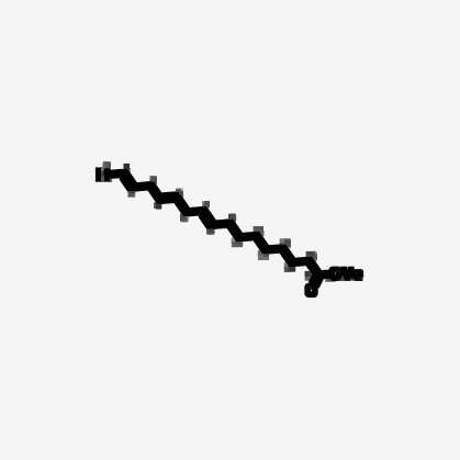 CC/C=C/C/C=C/C/C=C/CCCCCCCC(=O)OC